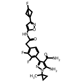 CC1(n2nc(-c3ccc(CC(=O)Nc4cc(C56CC(F)(C5)C6)no4)c(F)c3F)c(C(N)=O)c2N)CC1